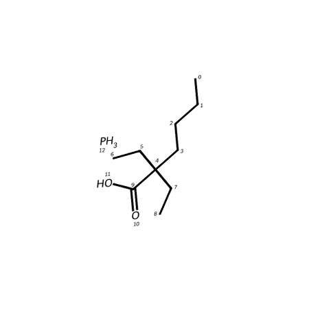 CCCCC(CC)(CC)C(=O)O.P